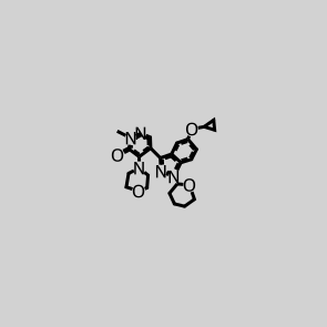 Cn1ncc(-c2nn(C3CCCCO3)c3ccc(OC4CC4)cc23)c(N2CCOCC2)c1=O